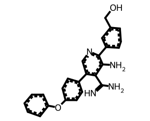 N=C(N)c1c(-c2ccc(Oc3ccccc3)cc2)cnc(-c2cccc(CO)c2)c1N